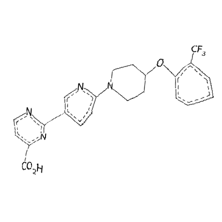 O=C(O)c1ccnc(-c2ccc(N3CCC(Oc4ccccc4C(F)(F)F)CC3)nc2)n1